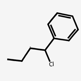 CC[CH]C(Cl)c1ccccc1